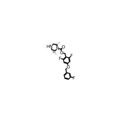 C[C@@H]1CNC[C@H](C)N1C(=O)OCc1c(F)cc(OCc2cccc(F)c2)cc1F